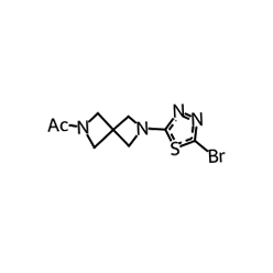 CC(=O)N1CC2(C1)CN(c1nnc(Br)s1)C2